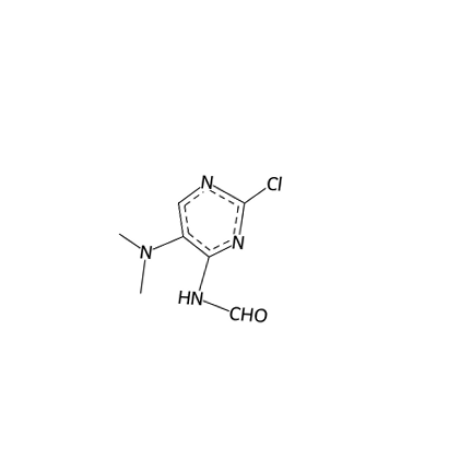 CN(C)c1cnc(Cl)nc1NC=O